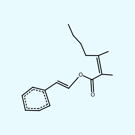 CCCCC(C)=C(C)C(=O)OC=Cc1ccccc1